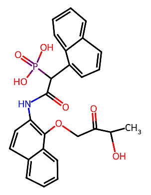 CC(O)C(=O)COc1c(NC(=O)C(c2cccc3ccccc23)P(=O)(O)O)ccc2ccccc12